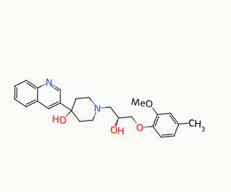 COc1cc(C)ccc1OC[C@@H](O)CN1CCC(O)(c2cnc3ccccc3c2)CC1